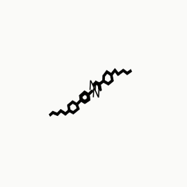 CCCCCC1CCC(c2ccc(-c3ncc(C4CCC(CCCCC)CC4)cn3)cc2)CC1